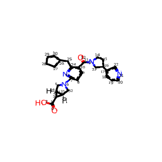 O=C(O)C1[C@H]2CN(c3ccc(C(=O)N4CCC(c5cccnc5)C4)c(CC4CCCC4)n3)C[C@@H]12